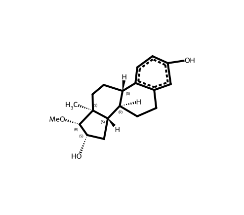 CO[C@H]1[C@@H](O)C[C@H]2[C@@H]3CCc4cc(O)ccc4[C@H]3CC[C@@]21C